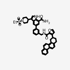 CCS(=O)(=O)N1CCC(c2c[nH]c3c(C(N)=O)cc(-c4cccc(CNC(=O)c5occc5C5CCc6ccc7c(ccc8ccccc87)c6C5)c4)cc23)CC1